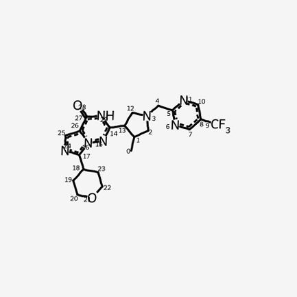 CC1CN(Cc2ncc(C(F)(F)F)cn2)CC1c1nn2c(C3CCOCC3)ncc2c(=O)[nH]1